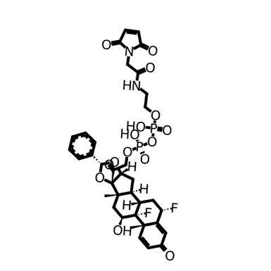 C[C@]12C=CC(=O)C=C1[C@@H](F)C[C@H]1[C@@H]3C[C@H]4O[C@@H](c5ccccc5)O[C@@]4(C(=O)COP(=O)(O)OP(=O)(O)OCCNC(=O)CN4C(=O)C=CC4=O)[C@@]3(C)C[C@H](O)[C@@]12F